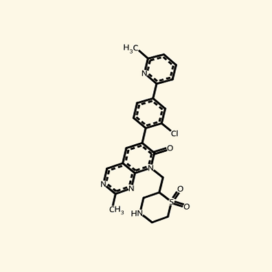 Cc1cccc(-c2ccc(-c3cc4cnc(C)nc4n(CC4CNCCS4(=O)=O)c3=O)c(Cl)c2)n1